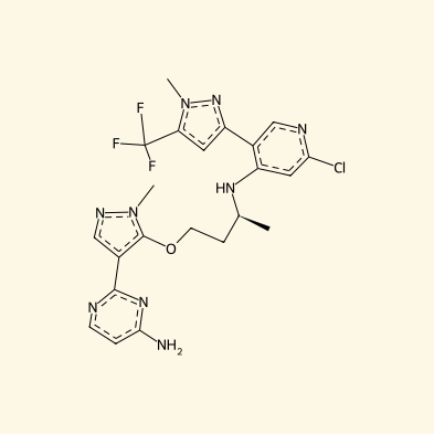 C[C@@H](CCOc1c(-c2nccc(N)n2)cnn1C)Nc1cc(Cl)ncc1-c1cc(C(F)(F)F)n(C)n1